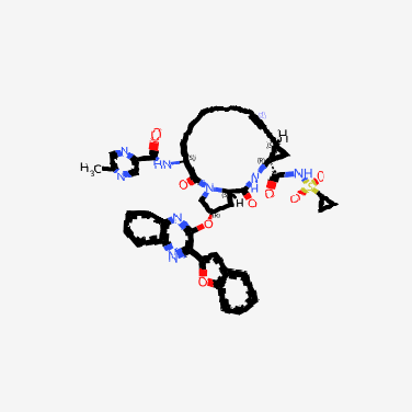 Cc1cnc(C(=O)N[C@H]2CCCCC/C=C\[C@@H]3C[C@@]3(C(=O)NS(=O)(=O)C3CC3)NC(=O)[C@@H]3C[C@@H](Oc4nc5ccccc5nc4-c4cc5ccccc5o4)CN3C2=O)cn1